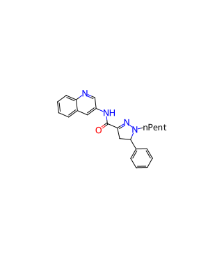 CCCCCN1N=C(C(=O)Nc2cnc3ccccc3c2)CC1c1ccccc1